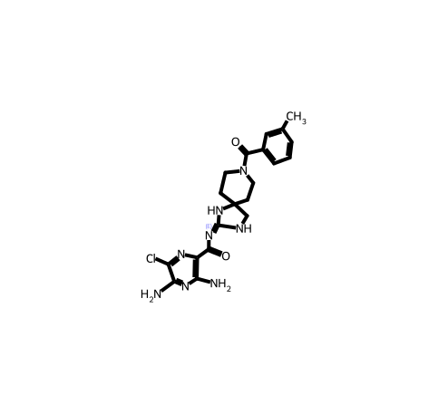 Cc1cccc(C(=O)N2CCC3(CC2)CN/C(=N\C(=O)c2nc(Cl)c(N)nc2N)N3)c1